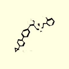 O=C(O)C1(c2ccc(-c3ccc(-c4oncc4CS(=O)(=O)CCc4ccccc4Cl)cc3)cc2)CC1